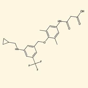 Cc1cc(NC(=O)CC(=O)O)cc(C)c1OCc1cc(NCC2CC2)cc(C(F)(F)F)c1